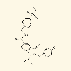 CCS(=O)(=O)c1ccc(CNC(=O)c2cnc3c(c2)C(=O)N(Cc2ccc(Cl)cc2)C3C(C)C)cc1